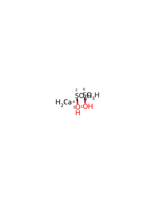 O=S(=O)(O)O.O=S(=O)(O)O.[CaH2]